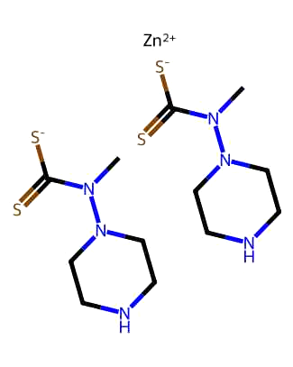 CN(C(=S)[S-])N1CCNCC1.CN(C(=S)[S-])N1CCNCC1.[Zn+2]